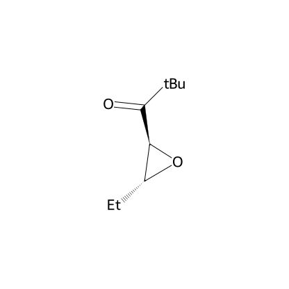 CC[C@H]1O[C@@H]1C(=O)C(C)(C)C